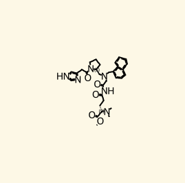 COC(=O)[C@H](CCC(=O)NC(=O)CN(Cc1cccc2ccccc12)C[C@@H]1CCCN1C(=O)Cc1c[nH]cn1)N(C)C